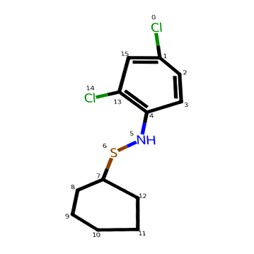 Clc1ccc(NSC2CCCCC2)c(Cl)c1